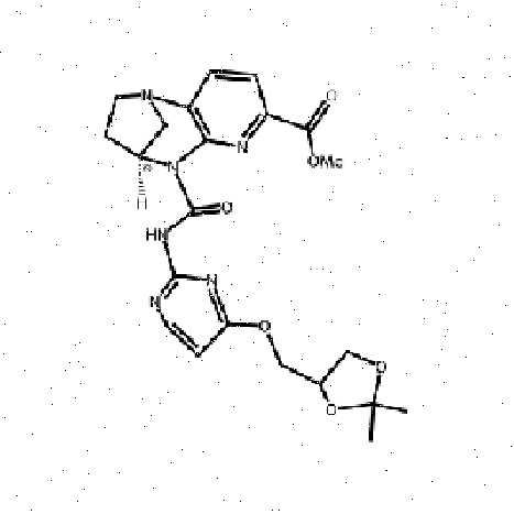 COC(=O)c1ccc2c(n1)N(C(=O)Nc1nccc(OCC3COC(C)(C)O3)n1)[C@H]1CCN2C1